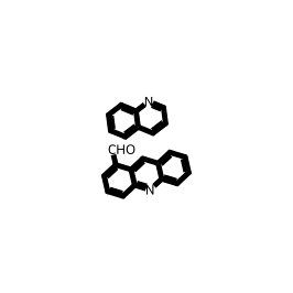 O=Cc1cccc2nc3ccccc3cc12.c1ccc2ncccc2c1